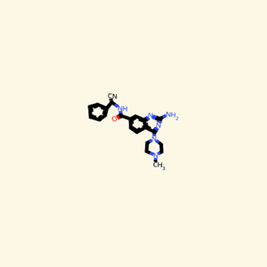 CN1CCN(c2nc(N)nc3cc(C(=O)NC(C#N)c4ccccc4)ccc23)CC1